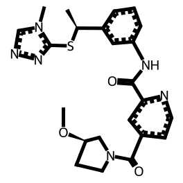 CO[C@@H]1CCN(C(=O)c2ccnc(C(=O)Nc3cccc([C@H](C)Sc4nncn4C)c3)c2)C1